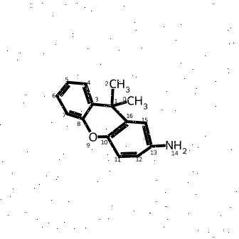 CC1(C)c2ccccc2Oc2ccc(N)cc21